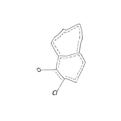 [O]c1c(Cl)ccc2ccccc12